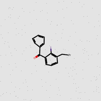 CC(C)Cc1cccc(C(=O)c2ccccc2)c1I